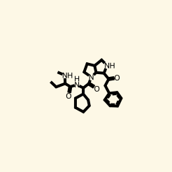 CCC(NC)C(=O)NC(C(=O)N1CCC2CNC(C(=O)Cc3ccccc3)C21)C1CCCCC1